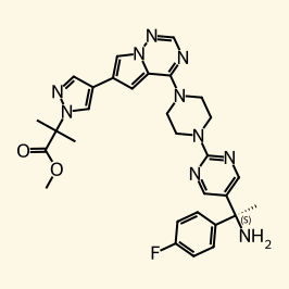 COC(=O)C(C)(C)n1cc(-c2cc3c(N4CCN(c5ncc([C@@](C)(N)c6ccc(F)cc6)cn5)CC4)ncnn3c2)cn1